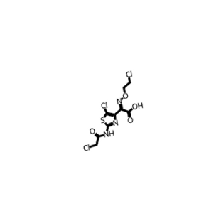 O=C(CCl)Nc1nc(/C(=N/OCCCl)C(=O)O)c(Cl)s1